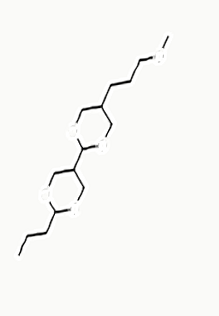 CCCC1OCC(C2OCC(CCCOC)CO2)CO1